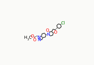 COC(=O)Cn1ncc2cc(-n3ccc4oc(-c5ccc(Cl)cc5)cc4c3=O)ccc21